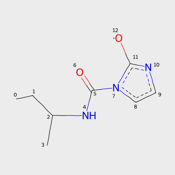 CCC(C)NC(=O)n1ccnc1[O]